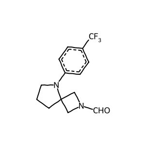 O=CN1CC2(CCCN2c2ccc(C(F)(F)F)cc2)C1